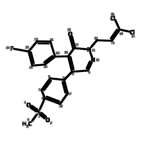 CS(=O)(=O)c1ccc(-c2cnn(CC=C(Cl)Cl)c(=O)c2-c2ccc(F)cc2)cc1